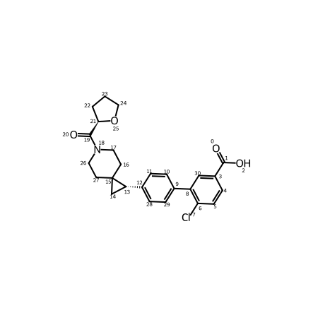 O=C(O)c1ccc(Cl)c(-c2ccc([C@@H]3CC34CCN(C(=O)[C@H]3CCCO3)CC4)cc2)c1